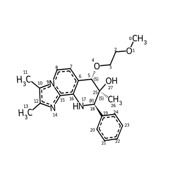 COCCO[C@H]1c2ccn3c(C)c(C)nc3c2N[C@H](c2ccccc2)[C@]1(C)O